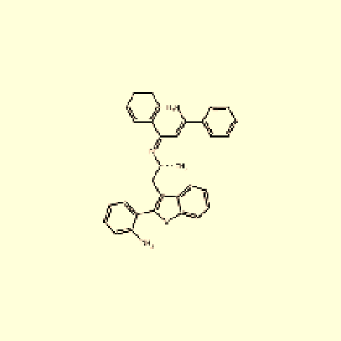 C[C@H](Cc1c(-c2ccccc2N)sc2ccccc12)/N=C(\C=C(/N)c1ccccc1)C1=CCCC=C1